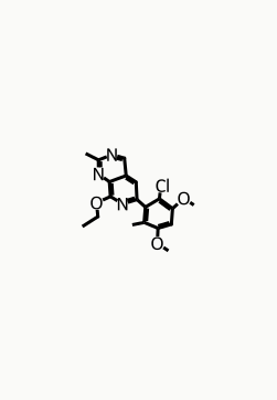 CCOc1nc(-c2c(C)c(OC)cc(OC)c2Cl)cc2cnc(C)nc12